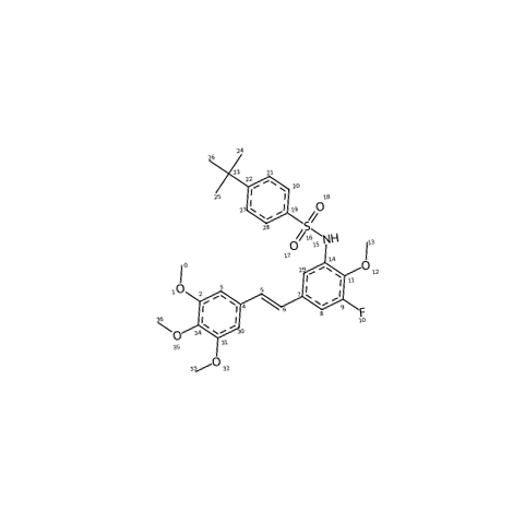 COc1cc(C=Cc2cc(F)c(OC)c(NS(=O)(=O)c3ccc(C(C)(C)C)cc3)c2)cc(OC)c1OC